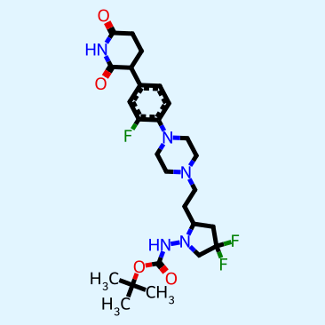 CC(C)(C)OC(=O)NN1CC(F)(F)CC1CCN1CCN(c2ccc(C3CCC(=O)NC3=O)cc2F)CC1